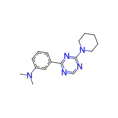 CN(C)c1cccc(-c2ncnc(N3CCCCC3)n2)c1